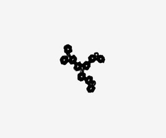 c1ccc(-n2c3ccccc3c3cc(-c4ccc5c(c4)c4cc(-c6ccc7oc8ccccc8c7c6)ccc4n5-c4cccc(-c5ccc6oc7ccccc7c6c5)c4)ccc32)cc1